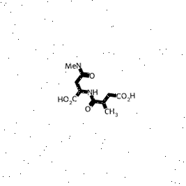 CNC(=O)CC(NC(=O)C(C)CC(=O)O)C(=O)O